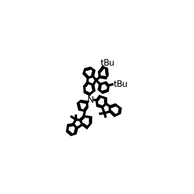 CC(C)(C)c1cccc(C2(c3cccc(C(C)(C)C)c3)c3ccccc3-c3ccc(N(c4cccc(-c5cccc6c5C(C)(C)c5ccccc5-6)c4)c4ccc5c(c4)C(C)(C)c4ccccc4-5)cc32)c1